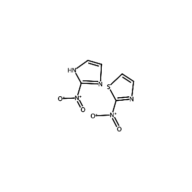 O=[N+]([O-])c1ncc[nH]1.O=[N+]([O-])c1nccs1